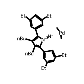 CCCCC1=C(c2cc(CC)cc(CC)c2)[N+](=[N-])C(c2cc(CC)cc(CC)c2)=C1CCCC.[CH3][Pd][CH3]